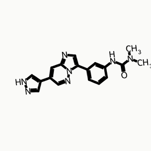 CN(C)C(=O)Nc1cccc(-c2cnc3cc(-c4cn[nH]c4)cnn23)c1